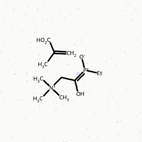 C=C(C)C(=O)O.CC/[P+]([O-])=C(\O)C[N+](C)(C)C